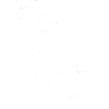 CCC(C(=O)OC(=O)CC(=O)OC(=O)C(CC)c1c(OC)cccc1[N+](=O)[O-])c1c(OC)cccc1[N+](=O)[O-]